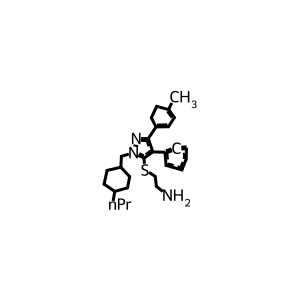 CCCC1CCC(Cn2nc(C3=CC=C(C)CC3)c(-c3ccccc3)c2SCCN)CC1